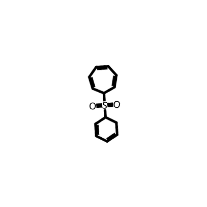 O=S(=O)(C1C=CC=CC=C1)C1C=CC=CC1